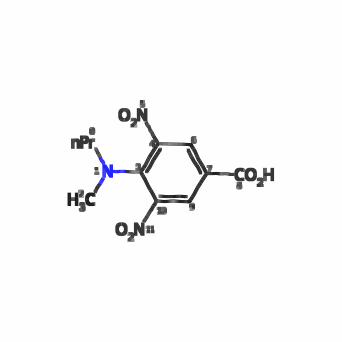 CCCN(C)c1c([N+](=O)[O-])cc(C(=O)O)cc1[N+](=O)[O-]